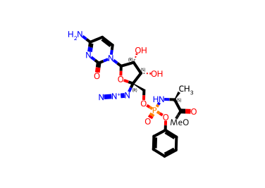 COC(=O)[C@H](C)NP(=O)(OC[C@@]1(N=[N+]=[N-])OC(n2ccc(N)nc2=O)[C@H](O)[C@@H]1O)Oc1ccccc1